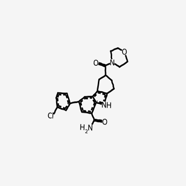 NC(=O)c1cc(-c2cccc(Cl)c2)cc2c3c([nH]c12)CCC(C(=O)N1CCOCC1)C3